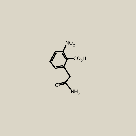 NC(=O)Cc1cccc([N+](=O)[O-])c1C(=O)O